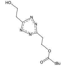 CC(C)(C)C(=O)OCCc1nnc(CCO)nn1